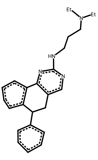 CCN(CC)CCCNc1ncc2c(n1)-c1ccccc1C(c1ccccc1)C2